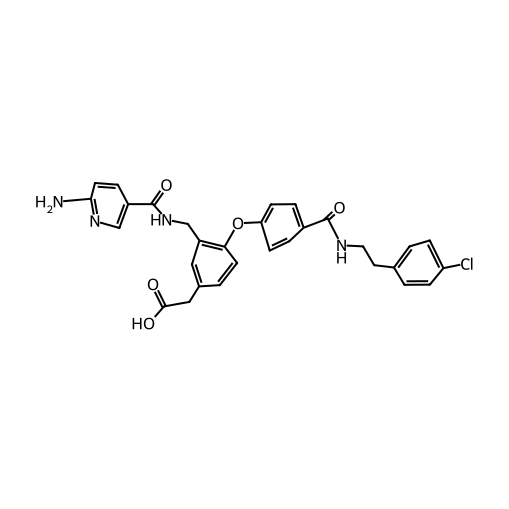 Nc1ccc(C(=O)NCc2cc(CC(=O)O)ccc2Oc2ccc(C(=O)NCCc3ccc(Cl)cc3)cc2)cn1